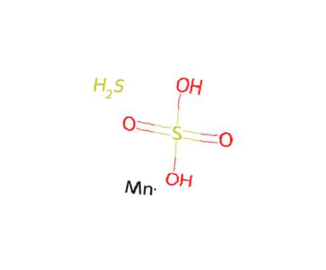 O=S(=O)(O)O.S.[Mn]